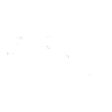 COc1cc2c(cc1OC)CC(=O)N(CC1CCCN(CCCc3coc4ccccc34)C1)CC2